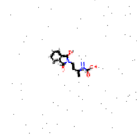 CC(CCN1C(=O)c2ccccc2C1=O)NC(=O)O